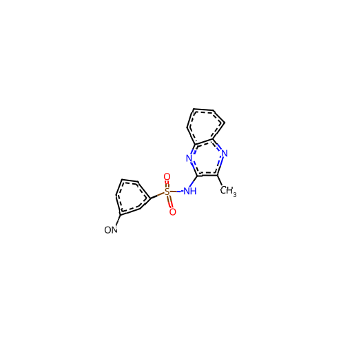 Cc1nc2ccccc2nc1NS(=O)(=O)c1cccc(N=O)c1